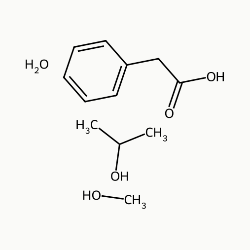 CC(C)O.CO.O.O=C(O)Cc1ccccc1